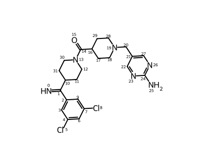 N=C(c1cc(Cl)cc(Cl)c1)C1CCN(C(=O)C2CCN(Cc3cnc(N)nc3)CC2)CC1